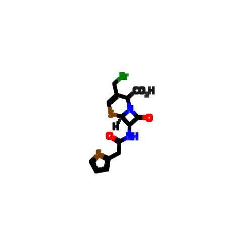 O=C(Cc1cccs1)NC1C(=O)N2C(C(=O)O)C(CBr)=CS[C@H]12